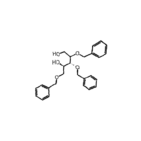 OCC(OCc1ccccc1)[C@H](OCc1ccccc1)[C@H](O)COCc1ccccc1